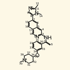 C=C(Nc1cc2cc(-c3cnc(C)n3C)ccc2cn1)c1cccc(OC2CCN(C)CC2)c1